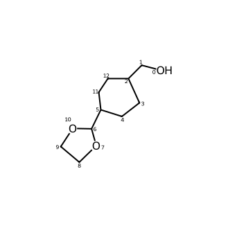 OCC1CCC(C2OCCO2)CC1